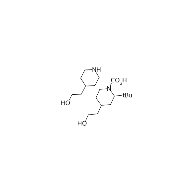 CC(C)(C)C1CC(CCO)CCN1C(=O)O.OCCC1CCNCC1